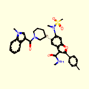 CNC(=O)c1c(-c2ccc(C)cc2)oc2cc(N(C)S(C)(=O)=O)c([C@H]3CCCN(C(=O)c4cn(C)c5ccccc45)C3)cc12